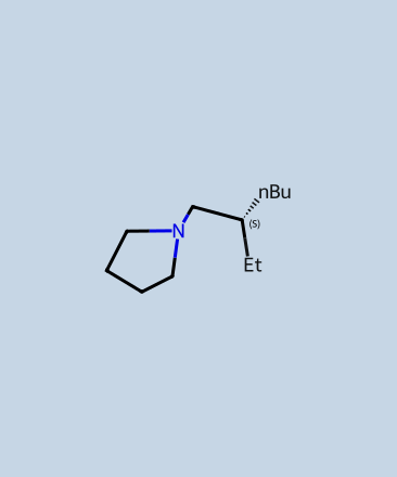 CCCC[C@H](CC)CN1CCCC1